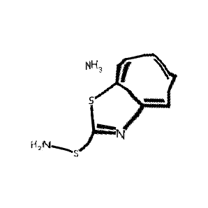 N.NSc1nc2ccccc2s1